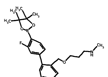 CNCCCOCc1ccccc1-c1ccc(B2OC(C)(C)C(C)(C)O2)c(F)c1